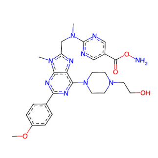 COc1ccc(-c2nc(N3CCN(CCO)CC3)c3nc(CN(C)c4ncc(C(=O)ON)cn4)n(C)c3n2)cc1